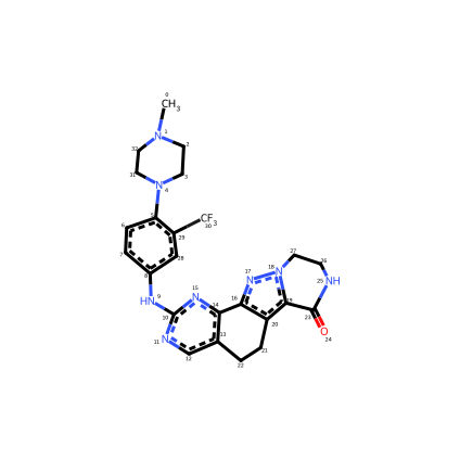 CN1CCN(c2ccc(Nc3ncc4c(n3)-c3nn5c(c3CC4)C(=O)NCC5)cc2C(F)(F)F)CC1